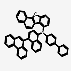 c1ccc(-c2ccc(N(c3ccc(-c4cc5ccccc5c5ccccc45)c4ccccc34)c3cccc4oc5c6ccccc6ccc5c34)cc2)cc1